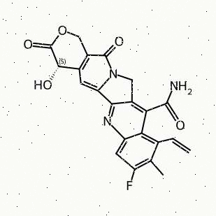 C=Cc1c(C)c(F)cc2nc3c(c(C(N)=O)c12)Cn1c-3cc2c(c1=O)COC(=O)[C@H]2O